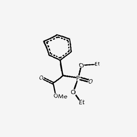 CCOP(=O)(OCC)C(C(=O)OC)c1ccccc1